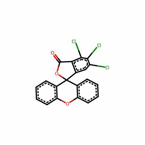 O=C1OC2(c3ccccc3Oc3ccccc32)c2cc(Cl)c(Cl)c(Cl)c21